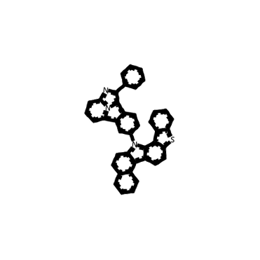 c1ccc(-c2nc3cccc4c5cc(-n6c7ccc8ccccc8c7c7ccc8sc9ccccc9c8c76)ccc5c2n34)cc1